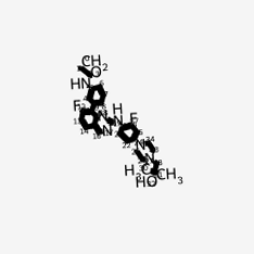 C=CC(=O)Nc1cccc(-c2c(F)ccc3cnc(Nc4ccc(N5CCN(CC(C)(C)O)CC5)cc4F)nc23)c1